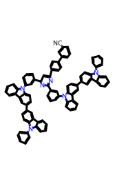 N#Cc1cccc(-c2ccc(-c3cc(-c4cccc(-n5c6ccccc6c6cc(-c7ccc8c(c7)c7ccccc7n8-c7ccccc7)ccc65)c4)nc(-c4cccc(-n5c6ccccc6c6cc(-c7ccc8c(c7)c7ccccc7n8-c7ccccc7)ccc65)c4)n3)cc2)c1